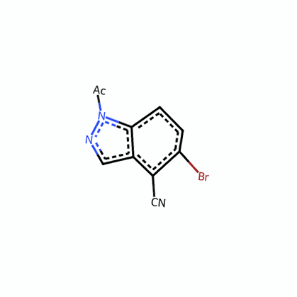 CC(=O)n1ncc2c(C#N)c(Br)ccc21